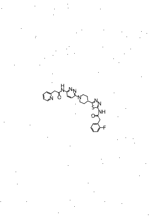 O=C(Cc1ccccn1)Nc1ccc(N2CCC(c3nnc(NC(=O)Cc4ccccc4F)s3)CC2)nn1